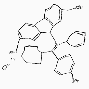 CC(C)c1ccc([C](C2CCCCC2)=[Zr+2]([CH]2C=CC=C2)[CH]2c3cc(C(C)(C)C)ccc3-c3ccc(C(C)(C)C)cc32)cc1.[Cl-].[Cl-]